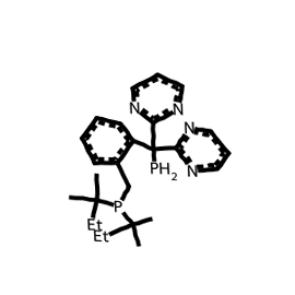 CCC(C)(C)P(Cc1ccccc1C(P)(c1ncccn1)c1ncccn1)C(C)(C)CC